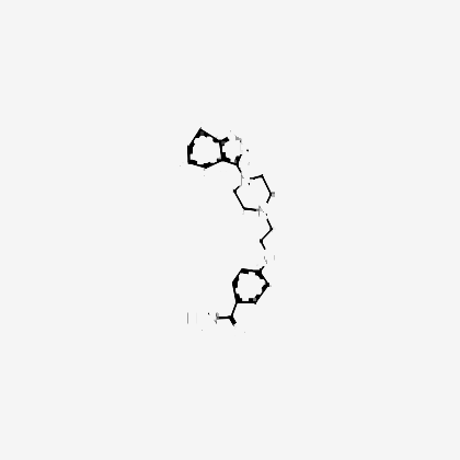 NC(=O)c1ccc(OCCN2CCN(c3nsc4ccccc34)CC2)cc1